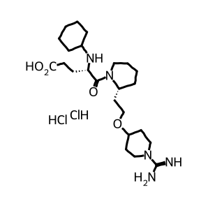 Cl.Cl.N=C(N)N1CCC(OCC[C@H]2CCCCN2C(=O)[C@H](CCC(=O)O)NC2CCCCC2)CC1